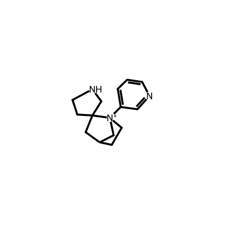 c1cncc([N+]23CCC(CC24CCNC4)C3)c1